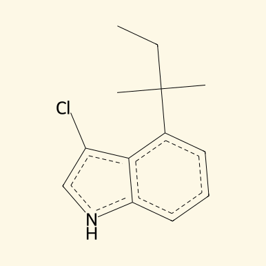 CCC(C)(C)c1cccc2[nH]cc(Cl)c12